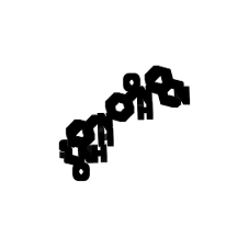 O=C1CSc2ccc(CNC3CCC(C(=O)Nc4cccc5cnccc45)CC3)cc2N1